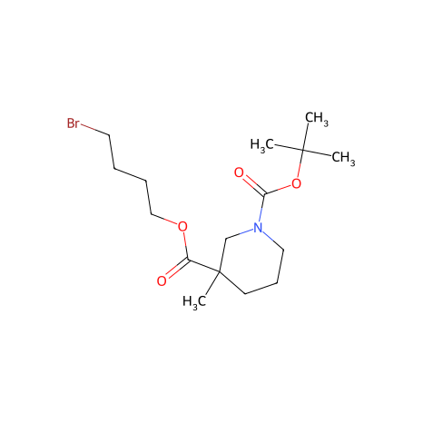 CC(C)(C)OC(=O)N1CCCC(C)(C(=O)OCCCCBr)C1